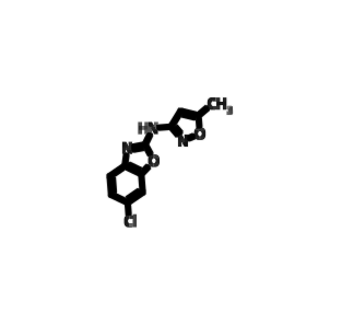 Cc1cc(Nc2nc3ccc(Cl)cc3o2)no1